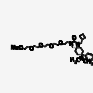 COCCOCCOCCOCCOCCN1C[C@]2(CC[C@](c3ccccc3)(N(C)C)CC2)N(CC2CCC2)C1=O